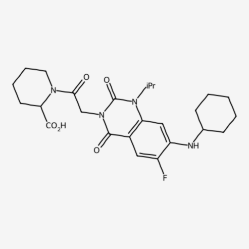 CC(C)n1c(=O)n(CC(=O)N2CCCCC2C(=O)O)c(=O)c2cc(F)c(NC3CCCCC3)cc21